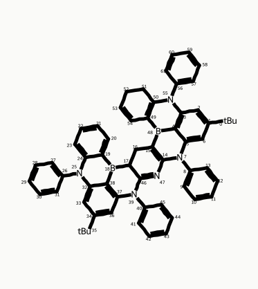 CC(C)(C)c1cc2c3c(c1)N(c1ccccc1)C1=C(CC4B5c6ccccc6N(c6ccccc6)c6cc(C(C)(C)C)cc(c65)N(c5ccccc5)C4=N1)B3C1=C(CCC=C1)N2c1ccccc1